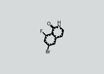 O=c1[nH]ccc2cc(Br)cc(F)c12